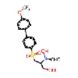 O=CN(O)C(CO)CS(=O)(=O)c1ccc(-c2ccc(OC(F)(F)F)cc2)cc1